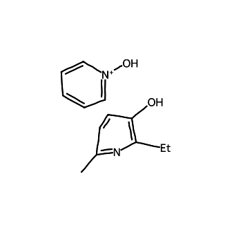 CCc1nc(C)ccc1O.O[n+]1ccccc1